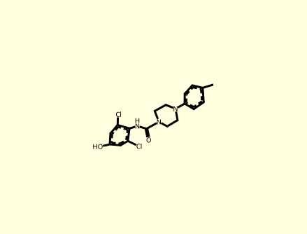 Cc1ccc(N2CCN(C(=O)Nc3c(Cl)cc(O)cc3Cl)CC2)cc1